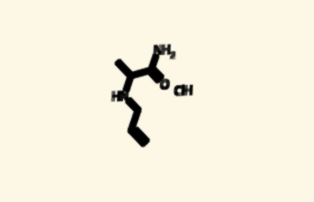 C=CCNC(C)C(N)=O.Cl